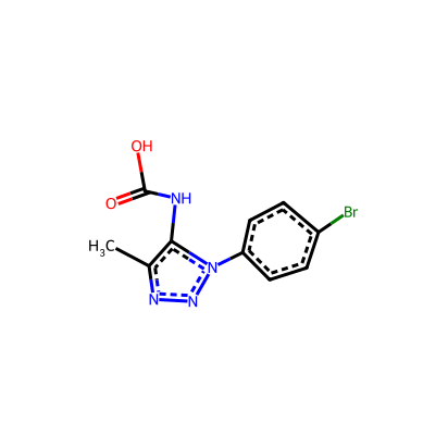 Cc1nnn(-c2ccc(Br)cc2)c1NC(=O)O